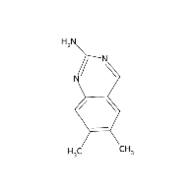 Cc1cc2cnc(N)nc2cc1C